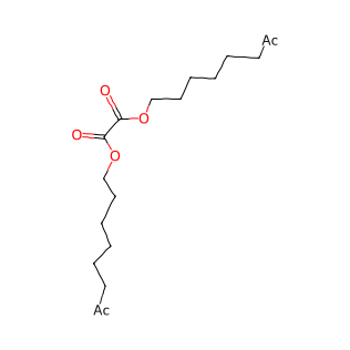 CC(=O)CCCCCCOC(=O)C(=O)OCCCCCCC(C)=O